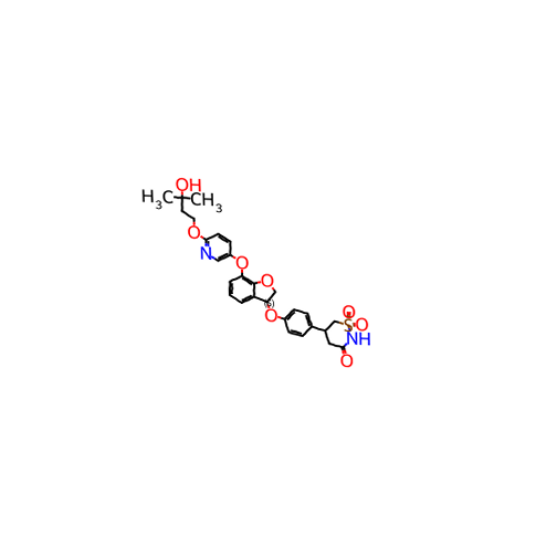 CC(C)(O)CCOc1ccc(Oc2cccc3c2OC[C@H]3Oc2ccc(C3CC(=O)NS(=O)(=O)C3)cc2)cn1